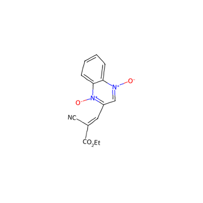 CCOC(=O)C(C#N)=Cc1c[n+]([O-])c2ccccc2[n+]1[O-]